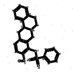 COc1ccc2c(c1OS(=O)(=O)c1ccccc1)CN1CCc3ccccc3C1C2